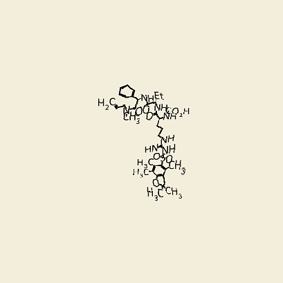 C=CCN(C)C(=O)[C@H](NC(=O)[C@H](CC)NC(=O)[C@H](CCCNC(=N)NS(=O)(=O)c1c(C)c(C)c2c(c1C)CC(C)(C)O2)NC(=O)O)c1ccccc1